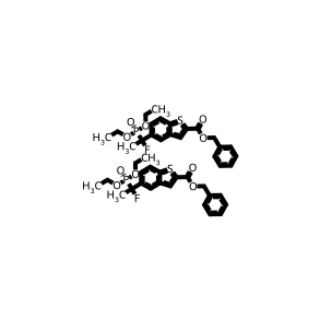 CCOP(=O)(OCC)C(C)(F)c1ccc2sc(C(=O)OCc3ccccc3)cc2c1.CCOP(=O)(OCC)C(C)(F)c1ccc2sc(C(=O)OCc3ccccc3)cc2c1